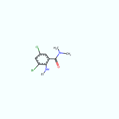 CCNc1c(Br)cc(Cl)cc1C(=O)N(C)C